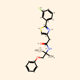 CC(COc1ccccc1)(NC(=O)Cc1csc(-c2cccc(F)c2)n1)C(=O)O